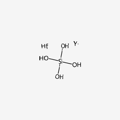 O[Si](O)(O)O.[Hf].[Y]